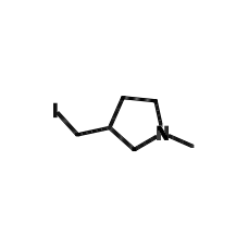 CN1CCC(CI)C1